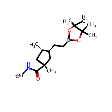 C[C@H]1C[C@@](C)(C(=O)NC(C)(C)C)C[C@@H]1CCB1OC(C)(C)C(C)(C)O1